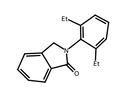 CCc1cccc(CC)c1N1Cc2ccccc2C1=O